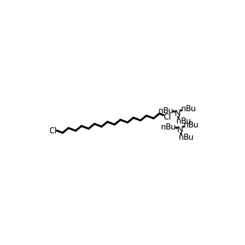 CCCCN(CCCC)CCCC.CCCCN(CCCC)CCCC.ClCCCCCCCCCCCCCCCCCl